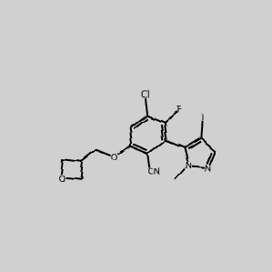 Cn1ncc(I)c1-c1c(F)c(Cl)cc(OCC2COC2)c1C#N